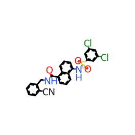 N#Cc1ccccc1CNC(=O)c1cccc2c(NS(=O)(=O)c3cc(Cl)cc(Cl)c3)cccc12